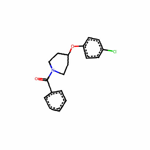 O=C(c1cc[c]cc1)N1CCC(Oc2ccc(Cl)cc2)CC1